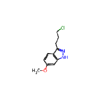 COc1ccc2c(CCCCl)n[nH]c2c1